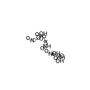 O=C(NCc1cc(-c2cccc([C@](O)(C(=O)OCC3CCN(Cc4ccccc4)CC3)c3ccccc3)c2)cs1)c1ccc(CNC[C@H](O)c2ccc(O)c3[nH]c(=O)ccc23)cc1